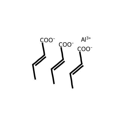 CC=CC(=O)[O-].CC=CC(=O)[O-].CC=CC(=O)[O-].[Al+3]